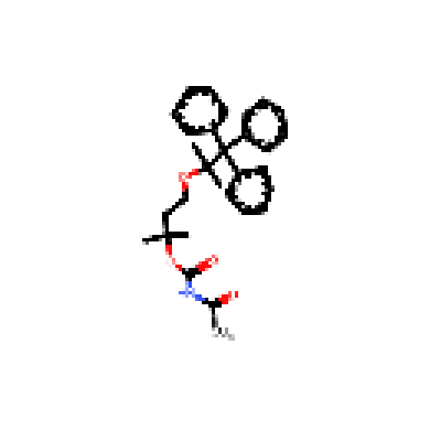 CC(C)(CCOC(C)(C)C(c1ccccc1)(c1ccccc1)c1ccccc1)OC(=O)NC(=O)C(Cl)(Cl)Cl